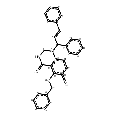 O=C1NCN(C(/C=C/c2ccccc2)c2ccccc2)n2ccc(=O)c(OCc3ccccc3)c21